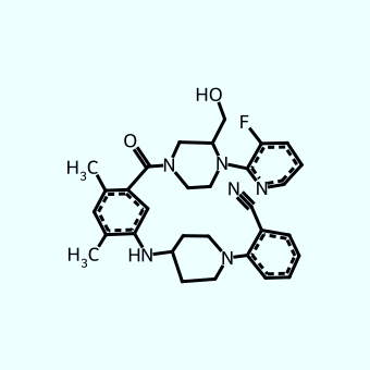 Cc1cc(C)c(C(=O)N2CCN(c3ncccc3F)C(CO)C2)cc1NC1CCN(c2ccccc2C#N)CC1